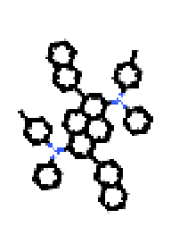 Cc1ccc(N(c2ccccc2)c2cc(-c3ccc4ccccc4c3)c3ccc4c(N(c5ccccc5)c5ccc(C)cc5)cc(-c5ccc6ccccc6c5)c5ccc2c3c54)cc1